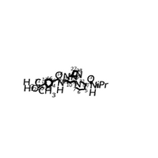 CC(C)NC(=O)[C@@H]1CCCN(c2cc(NC(=O)c3ccc(C(C)(C)O)cc3)nc3ccnn23)C1